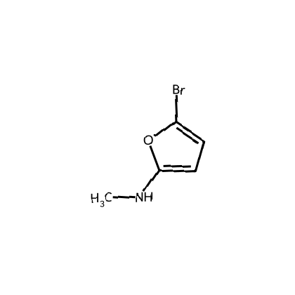 CNc1ccc(Br)o1